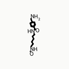 NCc1ccc(C(=O)NCCCCCCNC=O)cc1